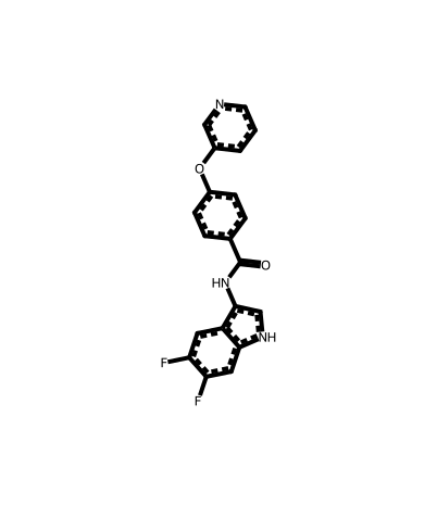 O=C(Nc1c[nH]c2cc(F)c(F)cc12)c1ccc(Oc2cccnc2)cc1